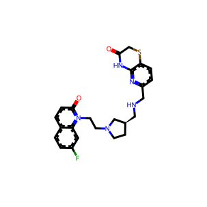 O=C1CSc2ccc(CNC[C@H]3CCN(CCn4c(=O)ccc5ccc(F)cc54)C3)nc2N1